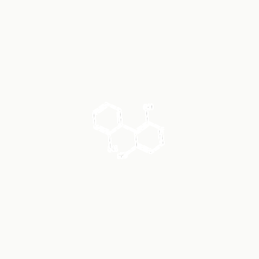 Oc1[c]ccc(O)c1-c1ccccc1O